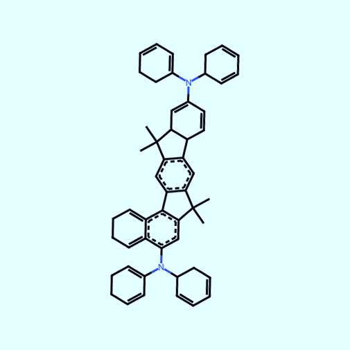 CC1(C)c2cc3c(cc2-c2c1cc(N(C1=CCCC=C1)C1C=CC=CC1)c1c2=CCCC=1)C(C)(C)C1C=C(N(C2=CC=CCC2)C2C=CC=CC2)C=CC31